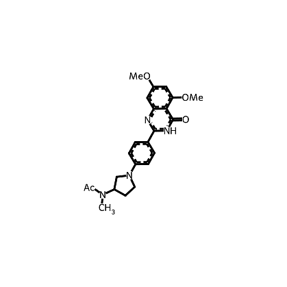 COc1cc(OC)c2c(=O)[nH]c(-c3ccc(N4CCC(N(C)C(C)=O)C4)cc3)nc2c1